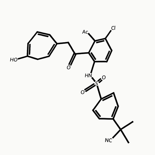 CC(=O)c1c(Cl)ccc(NS(=O)(=O)c2ccc(C(C)(C)C#N)cc2)c1C(=O)CC1=CCC(O)=CC=C1